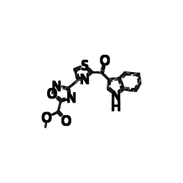 COC(=O)c1nc(-c2csc(C(=O)c3c[nH]c4ccccc34)n2)no1